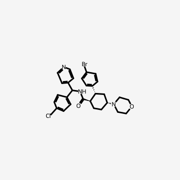 O=C(NC(c1ccncc1)c1ccc(Cl)cc1)[C@@H]1CC[C@@H](N2CCOCC2)C[C@H]1c1ccc(Br)cc1